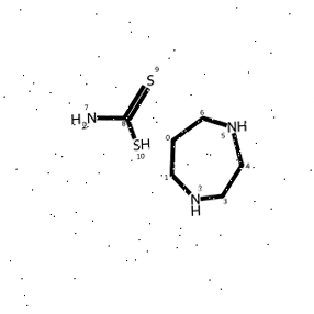 C1CNCCNC1.NC(=S)S